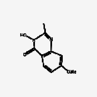 COc1ccc2c(=O)n(O)c(C)nc2c1